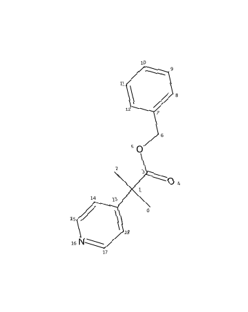 CC(C)(C(=O)OCc1ccccc1)c1ccncc1